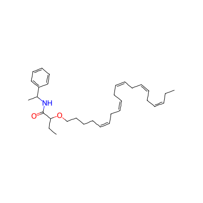 CC/C=C\C/C=C\C/C=C\C/C=C\C/C=C\CCCCOC(CC)C(=O)NC(C)c1ccccc1